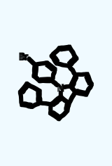 Brc1ccc(-n2c3c(-c4ccccc4)cccc3c3cccc(-c4ccccc4)c32)cc1